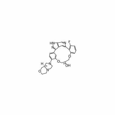 O[C@H]1COc2cc(ccc2N2CCN3CCOC[C@H]3C2)-c2n[nH]c3cnc(cc23)-c2c(F)cccc2OC1